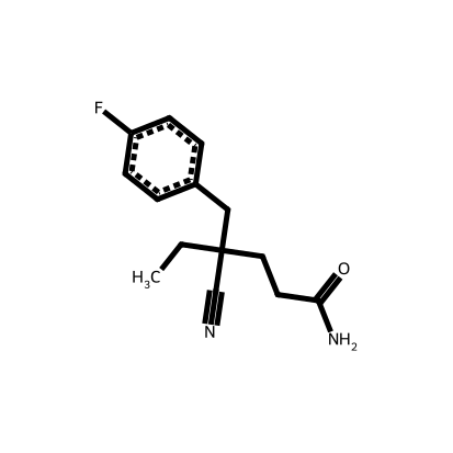 CCC(C#N)(CCC(N)=O)Cc1ccc(F)cc1